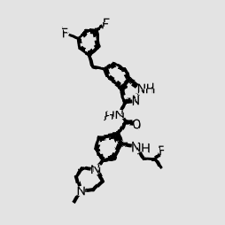 CC(F)CNc1cc(N2CCN(C)CC2)ccc1C(=O)Nc1n[nH]c2ccc(Cc3cc(F)cc(F)c3)cc12